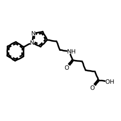 O=C(O)CCCC(=O)NCCc1cnn(-c2ccccc2)c1